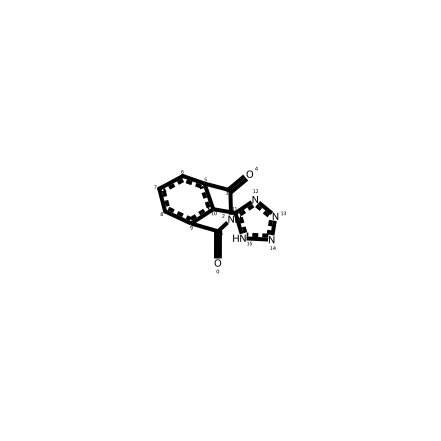 O=C1NC(=O)c2cccc1c2-c1nnn[nH]1